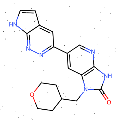 O=c1[nH]c2ncc(-c3cc4cc[nH]c4nn3)cc2n1CC1CCOCC1